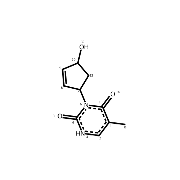 Cc1c[nH]c(=O)n(C2C=CC(O)C2)c1=O